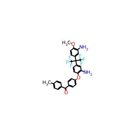 COc1ccc(C(c2ccc(Oc3ccc(C(=O)c4ccc(C)cc4)cc3)c(N)c2)(C(F)(F)F)C(F)(F)F)cc1N